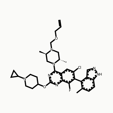 C=CCOCN1C[C@H](C)N(c2nc(OC3CCN(C4CC4)CC3)nc3c(F)c(-c4c(C)ccc5[nH]ncc45)c(Cl)cc23)C[C@H]1C